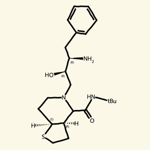 CC(C)(C)NC(=O)C1[C@H]2CCS[C@H]2CCN1C[C@@H](O)[C@H](N)Cc1ccccc1